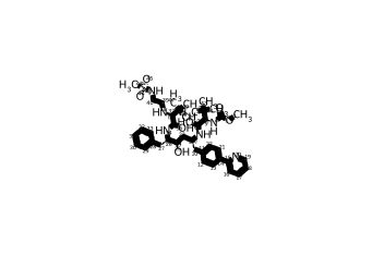 COC(=O)N[C@H](C(O)N[C@H](Cc1ccc(-c2ccccn2)cc1)C[C@H](O)[C@H](Cc1ccccc1)NC(O)[C@@H](NCCNS(C)(=O)=O)C(C)(C)C)C(C)(C)C